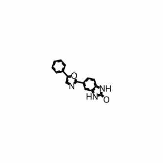 O=c1[nH]c2ccc(-c3ncc(-c4ccccc4)o3)cc2[nH]1